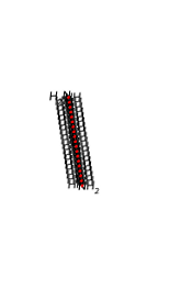 NNNNNNNNNNNNNNNNNNNNNNNNNNNNNNNNNNNNNN